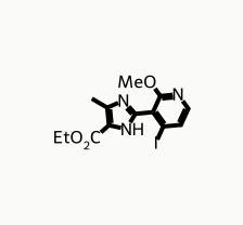 CCOC(=O)c1[nH]c(-c2c(I)ccnc2OC)nc1C